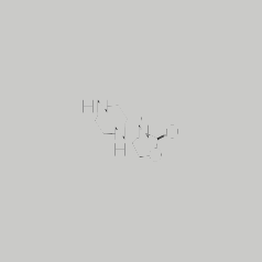 C1CNCCN1.CN1CCOC1=O